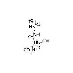 C/C(C(=O)O)=C(\CCC(=O)NCCNC(=O)C(C)(C)C)C(=O)NCC(C)(C)C